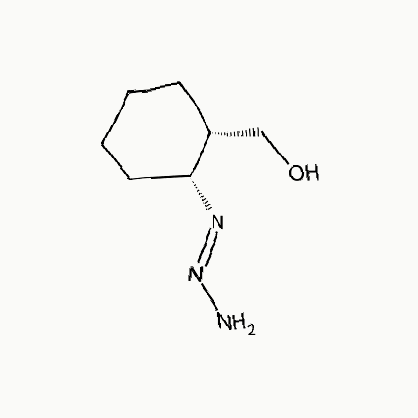 NN=N[C@@H]1CCCC[C@@H]1CO